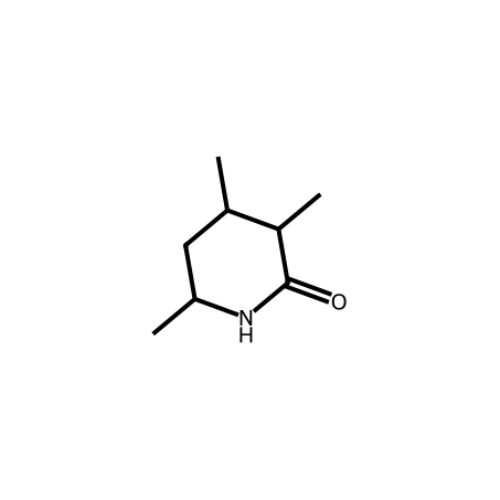 CC1CC(C)C(C)C(=O)N1